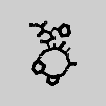 CNC(=O)C(=O)[C@H](Cc1ccccc1)NC(=O)[C@@H]1CCc2cccc(c2)-c2cccc(c2)CCC(=O)N[C@@H](C)C(=O)N1